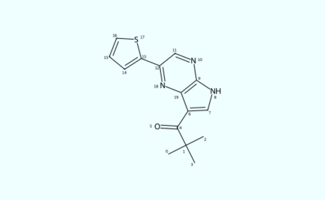 CC(C)(C)C(=O)c1c[nH]c2ncc(-c3cccs3)nc12